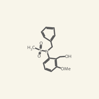 COc1cccc(N(Cc2ccccc2)S(C)(=O)=O)c1CO